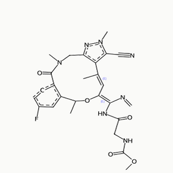 C=N/C(NC(=O)CNC(=O)OC)=C1\C=C(/C)c2c(nn(C)c2C#N)CN(C)C(=O)c2ccc(F)cc2C(C)O1